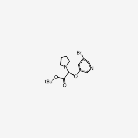 CC(C)(C)OC(=O)[C@H](Oc1cncc(Br)c1)N1CCCC1